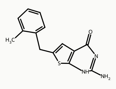 Cc1ccccc1Cc1cc2c(=O)nc(N)[nH]c2s1